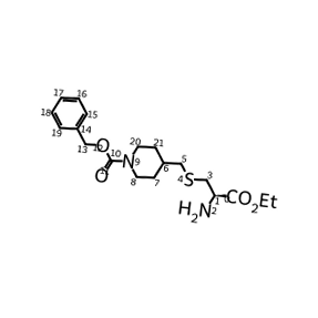 CCOC(=O)[C@@H](N)CSCC1CCN(C(=O)OCc2ccccc2)CC1